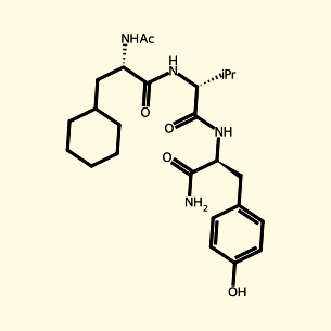 CC(=O)N[C@@H](CC1CCCCC1)C(=O)N[C@@H](C(=O)N[C@@H](Cc1ccc(O)cc1)C(N)=O)C(C)C